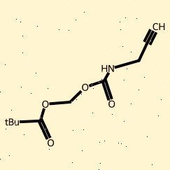 C#CCNC(=O)OCOC(=O)C(C)(C)C